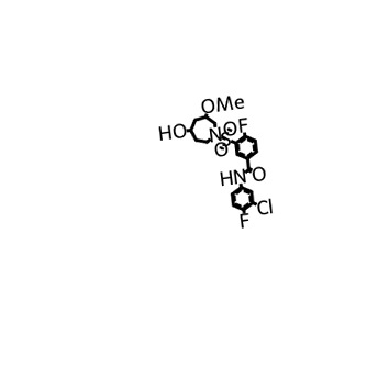 COC1CC(O)CCN(S(=O)(=O)c2cc(C(=O)Nc3ccc(F)c(Cl)c3)ccc2F)C1